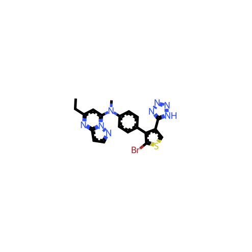 CCc1cc(N(C)c2ccc(-c3c(-c4nnn[nH]4)csc3Br)cc2)n2nccc2n1